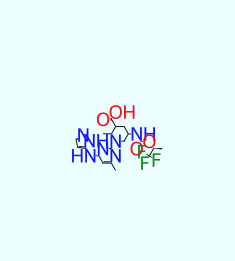 Cc1cc(Nc2ccn[nH]2)nc(N2CC(NC(=O)O[C@@H](C)C(F)(F)F)CC(C(=O)O)C2C)n1